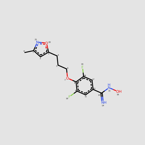 Cc1cc(CCCOc2c(F)cc(C(=N)NO)cc2F)on1